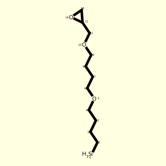 [SiH3]CCCCOCCCCOCC1CO1